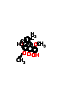 CCCCOc1cc(OC)cc2c1C(=O)c1c(O)ccc(OC)c1[C@H]2CC1=C(C)CCCC1(C)C